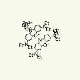 CCN(CC)c1ccc2nc3ccc(N(CC)CC)cc3[o+]c2c1.CCN(CC)c1ccc2nc3ccc(N(CC)CC)cc3[o+]c2c1.[Cl-].[Cl-].[Cl-].[Cl-].[Zn+2]